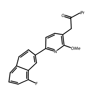 COc1nc(-c2ccc3cccc(F)c3c2)ccc1CC(=O)C(C)C